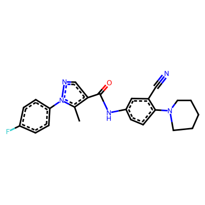 Cc1c(C(=O)Nc2ccc(N3CCCCC3)c(C#N)c2)cnn1-c1ccc(F)cc1